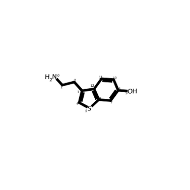 NCCc1csc2cc(O)ccc12